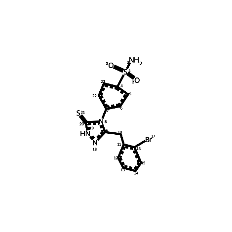 NS(=O)(=O)c1ccc(-n2c(Cc3ccccc3Br)n[nH]c2=S)cc1